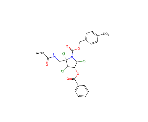 CC(=O)NC(=O)NC[C@]1(Cl)C(Cl)[C@@H](OC(=O)c2ccccc2)C(Cl)N1C(=O)OCc1ccc([N+](=O)[O-])cc1